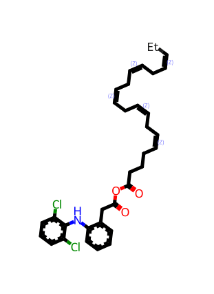 CC/C=C\C/C=C\C/C=C\C/C=C\C/C=C\CCCC(=O)OC(=O)Cc1ccccc1Nc1c(Cl)cccc1Cl